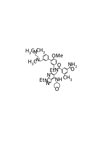 CCc1nc2c(cnn2CC)c(NC2CCOCC2)c1CN(Cc1ccc(OC)c(-c2cccc(CN(C)CCN(C)C)c2)c1)C(=O)c1cc(C)cc(C(N)=O)c1